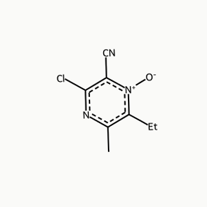 CCc1c(C)nc(Cl)c(C#N)[n+]1[O-]